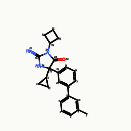 Cc1cccc(-c2cccc(C3(C4CC4)NC(=N)N(C4CCC4)C3=O)c2)c1